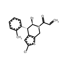 C=CC(=O)N1Cc2sc(Cl)cc2[C@H](c2ccccc2C)[C@H]1CC